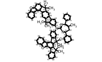 CC1=C(c2ccccc2)N=C(N(c2ccc3c(c2)C(C)(C)c2cc4c(cc2-3)C(C)(C)c2ccc3oc5ccccc5c3c2-4)c2ccc3c(c2)C(C)(C)c2c4c(c5oc6ccccc6c5c2-3)-c2ccccc2C4(C)C)N=C(c2ccccc2)C1